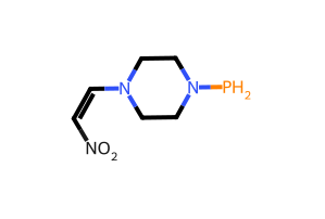 O=[N+]([O-])/C=C\N1CCN(P)CC1